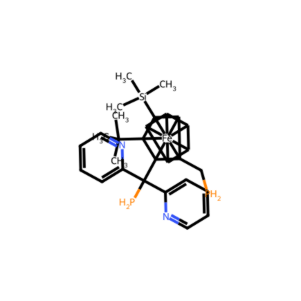 CC(C)(C)[C]12[C]3(C(P)(c4ccccn4)c4ccccn4)[C]4(CP)[CH]5[C]1([Si](C)(C)C)[Fe]54321678[CH]2[CH]1[CH]6[CH]7[CH]28